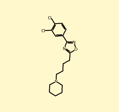 Clc1ccc(-c2noc(CCCCN3CCCCC3)n2)cc1Cl